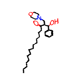 CCCCCCCCCCCCCCCC(=O)C(CN1CCOCC1)C(O)c1ccccc1